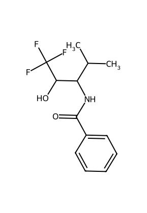 CC(C)C(NC(=O)c1ccccc1)C(O)C(F)(F)F